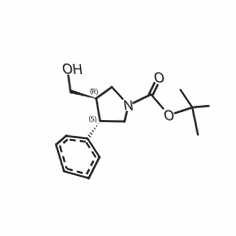 CC(C)(C)OC(=O)N1C[C@H](CO)[C@@H](c2ccccc2)C1